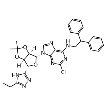 CCc1nnc([C@H]2O[C@@H](n3cnc4c(NCC(c5ccccc5)c5ccccc5)nc(Cl)nc43)[C@@H]3OC(C)(C)O[C@@H]32)[nH]1